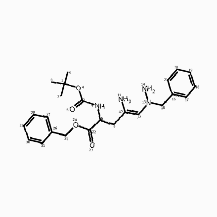 CC(C)(C)OC(=O)NC(C/C(N)=C/N(N)Cc1ccccc1)C(=O)OCc1ccccc1